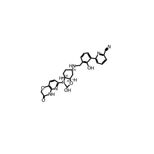 N#Cc1cccc(-c2cccc(CN[C@@H]3CC[C@@H]4[C@@H](C3)OC(O)N4c3ccc4c(n3)NC(=O)CO4)c2O)n1